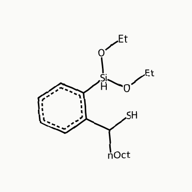 CCCCCCCCC(S)c1ccccc1[SiH](OCC)OCC